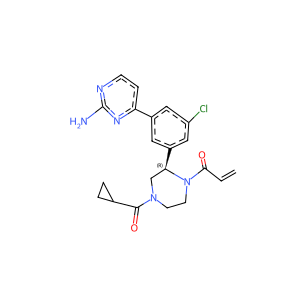 C=CC(=O)N1CCN(C(=O)C2CC2)C[C@H]1c1cc(Cl)cc(-c2ccnc(N)n2)c1